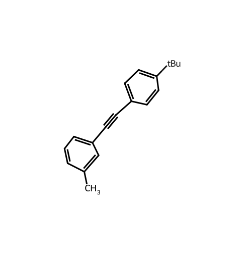 Cc1cccc(C#Cc2ccc(C(C)(C)C)cc2)c1